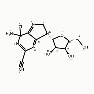 C#CC1=NC(N)(Cl)C2=NCN([C@@H]3O[C@H](CO)[C@@H](O)[C@H]3O)C2=N1